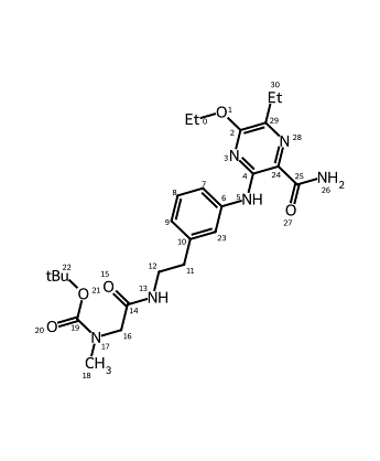 CCOc1nc(Nc2cccc(CCNC(=O)CN(C)C(=O)OC(C)(C)C)c2)c(C(N)=O)nc1CC